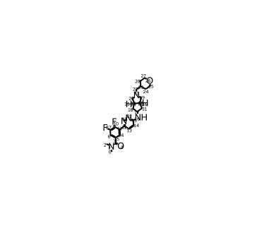 CN(C)C(=O)c1cc(F)c(F)c(-c2ccc(NC3C[C@@H]4CN(CC5CCOCC5)C[C@@H]4C3)nn2)c1